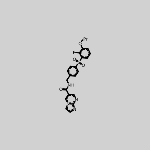 CC(C)Oc1cccc(S(=O)(=O)c2ccc(CNC(=O)c3cnc4nccn4c3)cc2)c1F